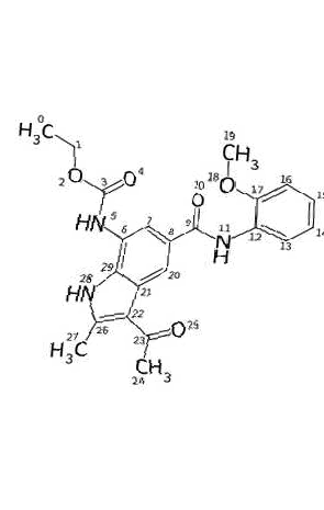 CCOC(=O)Nc1cc(C(=O)Nc2ccccc2OC)cc2c(C(C)=O)c(C)[nH]c12